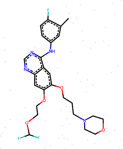 Cc1cc(Nc2ncnc3cc(OCCOC(F)F)c(OCCCN4CCOCC4)cc23)ccc1F